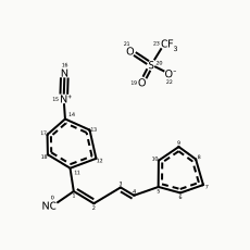 N#CC(=CC=Cc1ccccc1)c1ccc([N+]#N)cc1.O=S(=O)([O-])C(F)(F)F